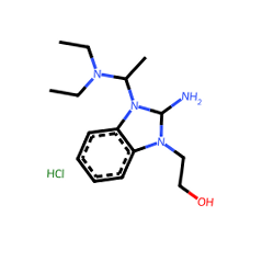 CCN(CC)C(C)N1c2ccccc2N(CCO)C1N.Cl